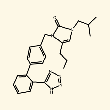 CCCc1cn(CC(C)C)c(=O)n1Cc1ccc(-c2ccccc2-c2nnn[nH]2)cc1